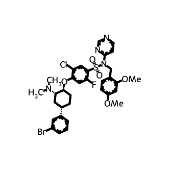 COc1ccc(CN(c2ccncn2)S(=O)(=O)c2cc(Cl)c(O[C@H]3CC[C@H](c4cccc(Br)c4)C[C@@H]3N(C)C)cc2F)c(OC)c1